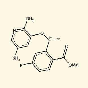 Bc1cnc(N)c(O[C@H](C)c2cc(F)ccc2C(=O)OC)c1